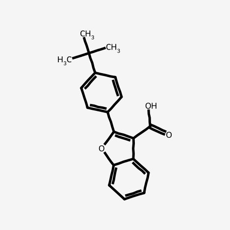 CC(C)(C)c1ccc(-c2oc3ccccc3c2C(=O)O)cc1